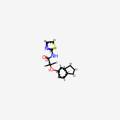 CC(C)(Oc1ccc2c(c1)CCC2)C(=O)Nc1nccs1